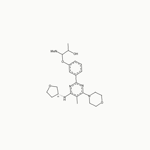 CNC(Oc1cccc(-c2nc(N[C@@H]3CCOC3)c(C)c(N3CCOCC3)n2)c1)C(C)O